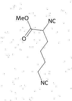 [C-]#[N+]CCCCC([N+]#[C-])C(=O)OC